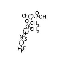 CCN(C)C1(CCOc2cc(CC(=O)O)ccc2Cl)CCN(c2nc3ccc(C(F)(F)F)cc3s2)CC1